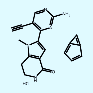 C#Cc1cnc(N)nc1-c1cc2c(n1C)CCNC2=O.Cl.c1cc2cc-2c1